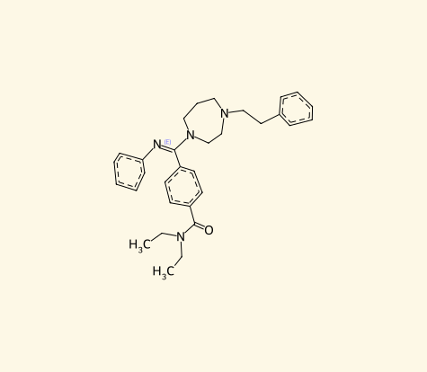 CCN(CC)C(=O)c1ccc(/C(=N\c2ccccc2)N2CCCN(CCc3ccccc3)CC2)cc1